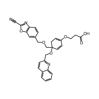 N#Cc1nc2ccc(COCC3(OCc4ccc5ccccc5n4)C=CC(OCCC(=O)O)=CC3)cc2o1